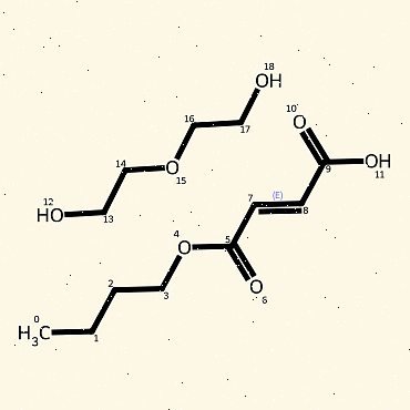 CCCCOC(=O)/C=C/C(=O)O.OCCOCCO